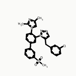 Cc1cn(-c2ccc(-c3cccc(S(C)(=O)=O)c3)cc2-n2nncc2Cc2cccc(Cl)c2)c(C)n1